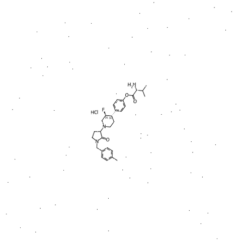 Cc1ccc(CN2CCC(N3CC[C@@H](c4ccc(OC(=O)C(N)C(C)C)cc4)[C@H](F)C3)C2=O)cc1.Cl